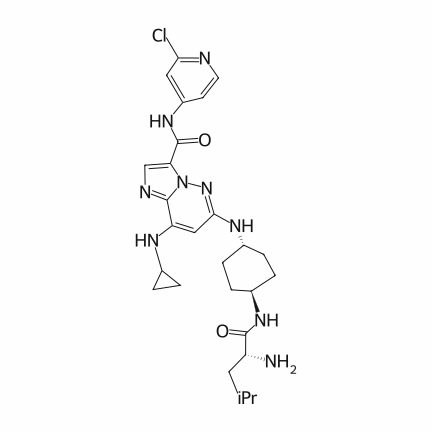 CC(C)C[C@@H](N)C(=O)N[C@H]1CC[C@H](Nc2cc(NC3CC3)c3ncc(C(=O)Nc4ccnc(Cl)c4)n3n2)CC1